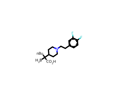 BC(CCCC)(C(=O)O)C1CCN(CCc2ccc(F)c(F)c2)CC1